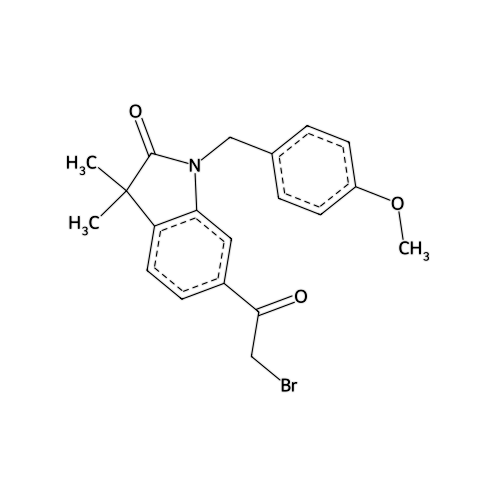 COc1ccc(CN2C(=O)C(C)(C)c3ccc(C(=O)CBr)cc32)cc1